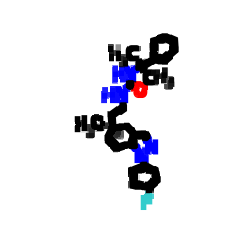 CC(C)(NC(=O)NCC[C@]1(C)C=Cc2c(cnn2-c2ccc(F)cc2)C1)c1ccccc1